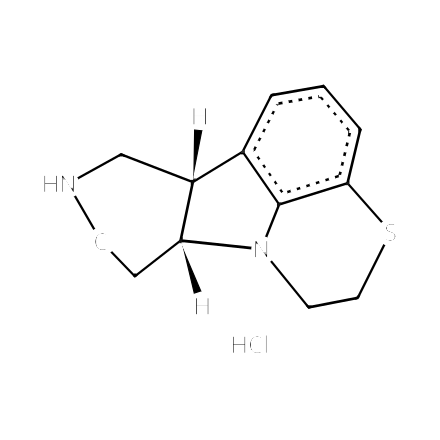 Cl.c1cc2c3c(c1)[C@H]1CNCC[C@H]1N3CCS2